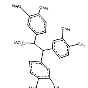 CCOC(=O)C(c1ccc(OC)c(OC)c1)C(c1ccc(OC)c(C)c1)c1ccc(C)c(OC)c1